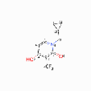 O=c1c(C(F)(F)F)c(O)ccn1CC1CC1